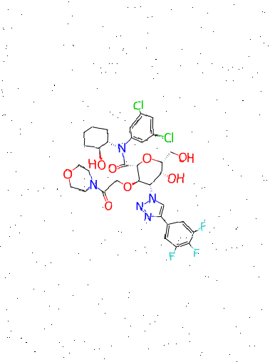 O=C(CO[C@@H]1[C@@H](n2cc(-c3cc(F)c(F)c(F)c3)nn2)[C@@H](O)[C@@H](CO)O[C@H]1C(=O)N(c1cc(Cl)cc(Cl)c1)[C@H]1CCCC[C@@H]1O)N1CCOCC1